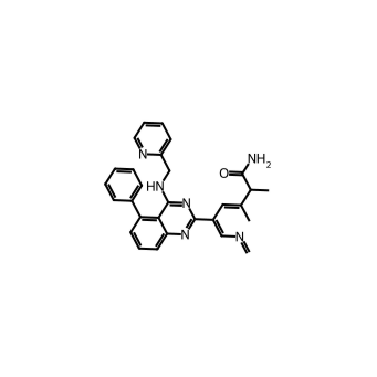 C=N/C=C(\C=C(/C)C(C)C(N)=O)c1nc(NCc2ccccn2)c2c(-c3ccccc3)cccc2n1